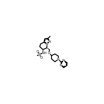 Cc1cc2n(n1)[C@@H](COC1CCN(c3ncccn3)CC1)[C@@H](NS(C)(=O)=O)CC2